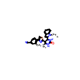 CC1=C(c2nc(-c3ccc(C#N)cc3C)cs2)C(c2cc3ccccc3n2C)NC(=O)N1